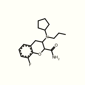 CCCN(C1CCCC1)C1Cc2cccc(F)c2OC1C(N)=O